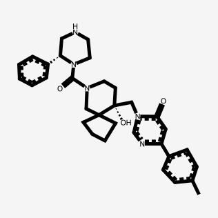 Cc1ccc(-c2cc(=O)n(C[C@]3(O)CCN(C(=O)N4CCNC[C@H]4c4ccccc4)CC34CCCC4)cn2)cc1